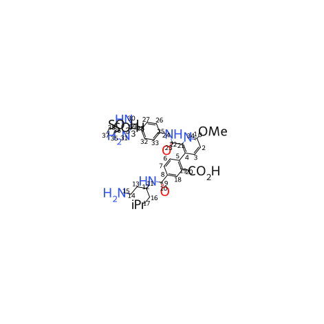 COc1ccc(-c2ccc(C(=O)NC(CCN)CC(C)C)cc2C(=O)O)c(C(=O)Nc2ccc(C(=N)N)cc2)n1.CS(=O)(=O)O.CS(=O)(=O)O